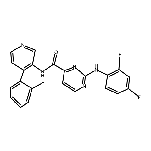 O=C(Nc1cnccc1-c1ccccc1F)c1ccnc(Nc2ccc(F)cc2F)n1